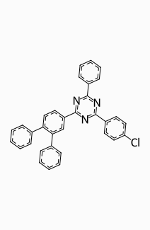 Clc1ccc(-c2nc(-c3ccccc3)nc(-c3ccc(-c4ccccc4)c(-c4ccccc4)c3)n2)cc1